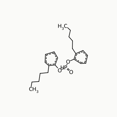 CCCCCc1ccccc1O[PH](=O)Oc1ccccc1CCCCC